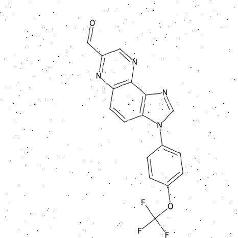 O=Cc1cnc2c(ccc3c2ncn3-c2ccc(OC(F)(F)F)cc2)n1